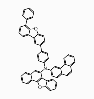 c1ccc(-c2cccc3c2oc2ccc(-c4ccc(N(c5ccc6ccc7ccccc7c6c5)c5cc6ccccc6c6oc7ccccc7c56)cc4)cc23)cc1